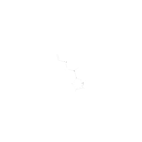 O=CNOC(=O)c1ccco1